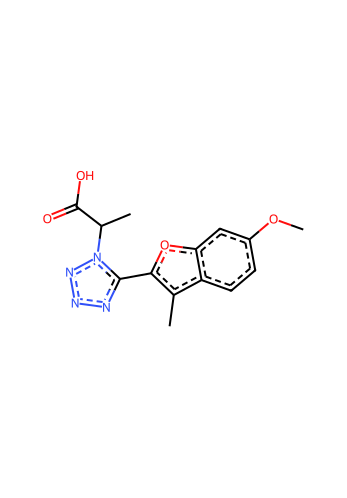 COc1ccc2c(C)c(-c3nnnn3C(C)C(=O)O)oc2c1